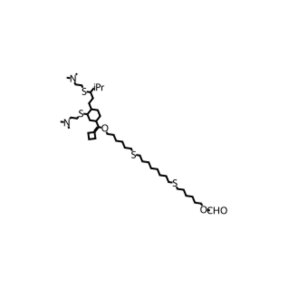 CC(C)C(CCC1CCC(C(OCCCCCCSCCCCCCCCSCCCCCCOC=O)=C2CCC2)CC1SCCN(C)C)SCCN(C)C